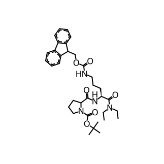 CCN(CC)C(=O)[C@H](CCCNC(=O)OCC1c2ccccc2-c2ccccc21)NC(=O)C1CCCN1C(=O)OC(C)(C)C